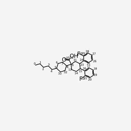 CCCCCC1CCC(C2(C(=O)O)CCC(c3ccccc3F)C(c3ccccc3F)C2)CC1